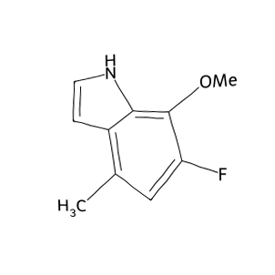 COc1c(F)cc(C)c2cc[nH]c12